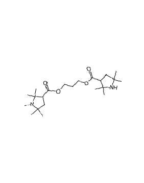 CN1C(C)(C)CC(C(=O)OCCCOC(=O)C2CC(C)(C)NC2(C)C)C1(C)C